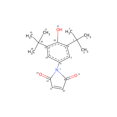 CC(C)(C)c1cc(N2C(=O)C=CC2=O)cc(C(C)(C)C)c1O